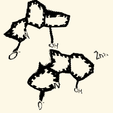 [O-]c1ccc2ccc3cccc(O)c3c2n1.[O-]c1ccc2ccc3cccc(O)c3c2n1.[Zn+2]